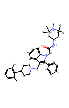 Cc1cccc(C)c1C1CCN(Cc2c(-c3ccccc3)n(CC(=O)NC3CC(C)(C)N(C)C(C)(C)C3)c3ccccc23)CC1